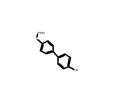 CCCCCCCSc1ccc(-c2ccc(C#N)cc2)cc1